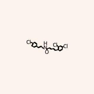 O=C(C=CC=Cc1ccc(Cl)cc1Cl)NCC=Cc1ccc(Cl)cc1